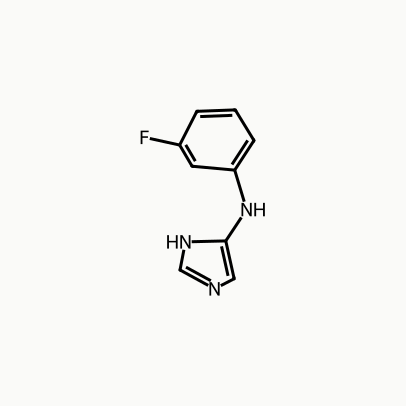 Fc1cccc(Nc2cnc[nH]2)c1